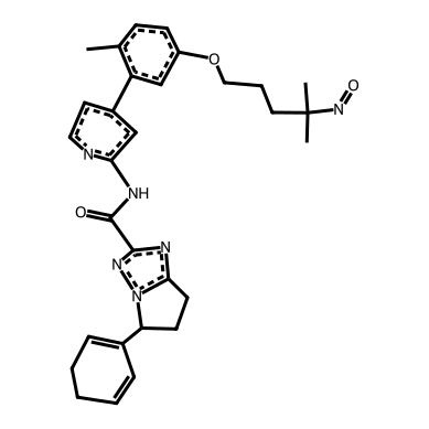 Cc1ccc(OCCCC(C)(C)N=O)cc1-c1ccnc(NC(=O)c2nc3n(n2)C(C2=CCCC=C2)CC3)c1